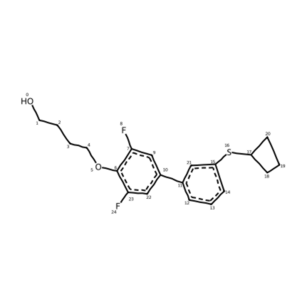 OCCCCOc1c(F)cc(-c2cccc(SC3CCC3)c2)cc1F